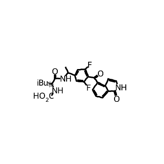 CC[C@H](C)[C@H](NC(=O)O)C(=O)NC(C)c1cc(F)c(C(=O)c2cccc3c(=O)[nH]ccc23)c(F)c1